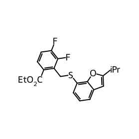 CCOC(=O)c1ccc(F)c(F)c1CSc1cccc2cc(C(C)C)oc12